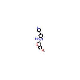 CCOc1ccc2c(c1)CC(c1nc3ccc(-c4ccncc4)cc3[nH]1)CO2